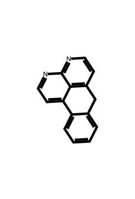 c1ccc2c(c1)Cc1ccnc3nccc-2c13